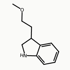 COCCC1CNc2ccccc21